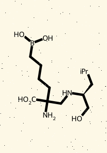 CC(C)C[C@@H](CO)NCC(N)(CCCCB(O)O)C(=O)O